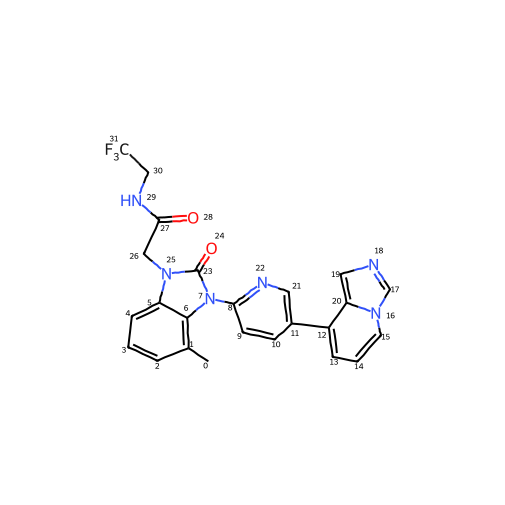 Cc1cccc2c1n(-c1ccc(-c3cccn4cncc34)cn1)c(=O)n2CC(=O)NCC(F)(F)F